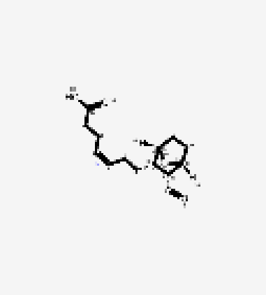 O=C[C@@H]1[C@H](CC/C=C\CCC(=O)O)[C@@H]2CC[C@H]1O2